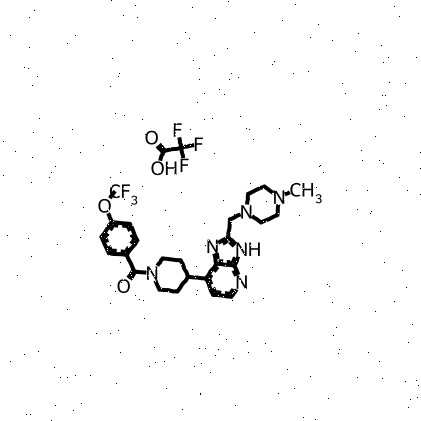 CN1CCN(Cc2nc3c(C4CCN(C(=O)c5ccc(OC(F)(F)F)cc5)CC4)ccnc3[nH]2)CC1.O=C(O)C(F)(F)F